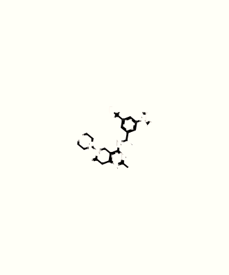 Cc1nc2c(c(N[C@H](C)c3cc([N+](=O)[O-])cc(C(F)(F)F)c3)n1)CN(N1CCOCC1)C(=O)C2